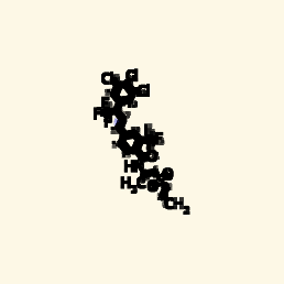 C=CCS(=O)(=O)CC(C)NC(=O)c1ccc(/C=C/C(c2cc(Cl)c(Cl)c(Cl)c2)C(F)(F)F)cc1C(F)(F)F